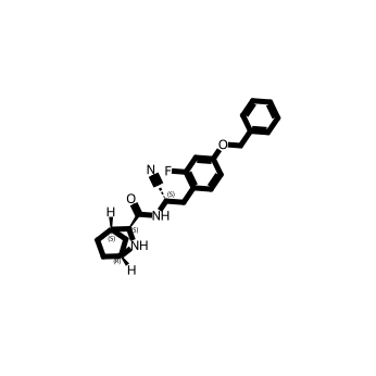 N#C[C@H](Cc1ccc(OCc2ccccc2)cc1F)NC(=O)[C@H]1N[C@@H]2CC[C@H]1C2